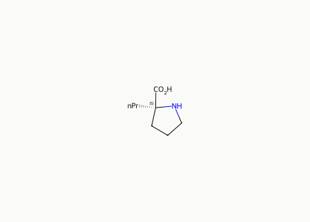 CCC[C@@]1(C(=O)O)CCCN1